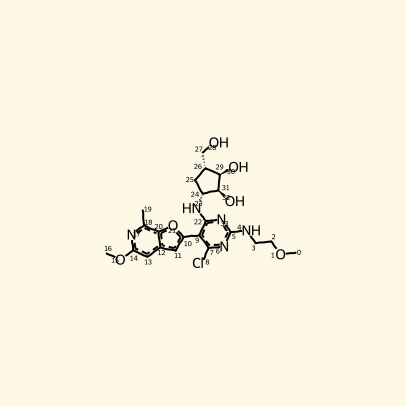 COCCNc1nc(Cl)c(-c2cc3cc(OC)nc(C)c3o2)c(N[C@@H]2C[C@H](CO)[C@@H](O)[C@H]2O)n1